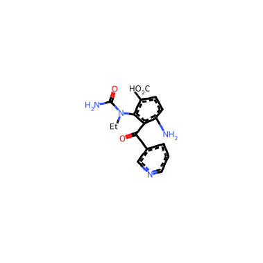 CCN(C(N)=O)c1c(C(=O)O)ccc(N)c1C(=O)c1cccnc1